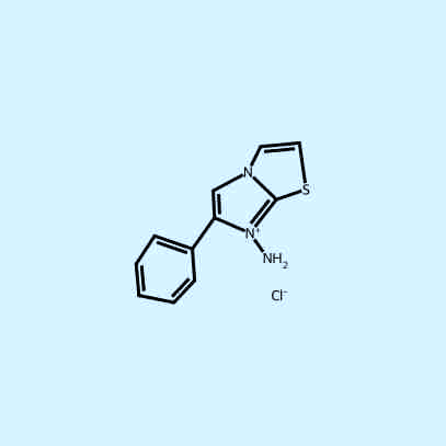 N[n+]1c(-c2ccccc2)cn2ccsc21.[Cl-]